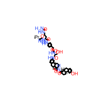 CC(C)C(N)C(=O)NC(CCCNC(N)=O)C(=O)Nc1ccc(COC(=O)NC(CO)C(=O)Nc2ccc3c(c2)[C@@]2(C)CCC[C@](C)(C(=O)NC(=O)[C@@]4(C)CCC[C@]5(C)c6cc(O)ccc6CC[C@@H]45)[C@@H]2CC3)cc1